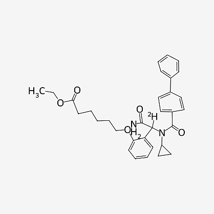 [2H]C(C(N)=O)(c1ccccc1OCCCCCC(=O)OCC)N(C(=O)c1ccc(-c2ccccc2)cc1)C1CC1